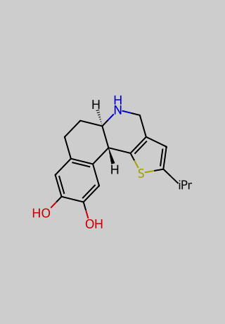 CC(C)c1cc2c(s1)[C@@H]1c3cc(O)c(O)cc3CC[C@H]1NC2